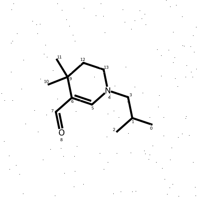 CC(C)CN1C=C(C=O)C(C)(C)CC1